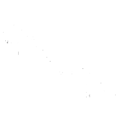 Cc1c(OCCCCOc2cccnc2Cl)ccc(CCC(C)C)c1O